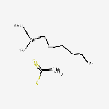 CC(=S)[S-].CCC[CH2][Sn+]([CH2]CCC)[CH2]CCCCC(C)C